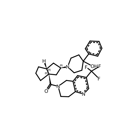 O=C(N1CCc2ncc(C(F)(F)F)cc2C1)[C@@]12CCC[C@@H]1C[C@@H](N1CCC(O)(c3ccccc3)CC1)C2